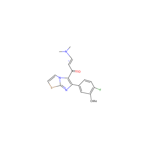 COc1cc(-c2nc3sccn3c2C(=O)/C=C/N(C)C)ccc1F